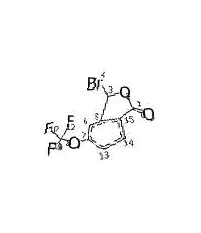 O=C1OC(Br)c2cc(OC(F)(F)F)ccc21